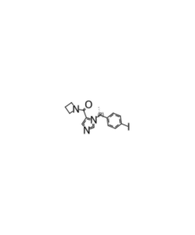 C[C@H](c1ccc(I)cc1)n1cncc1C(=O)N1CCC1